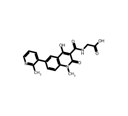 Cc1ncccc1-c1ccc2c(c1)c(O)c(C(=O)NCC(=O)O)c(=O)n2C